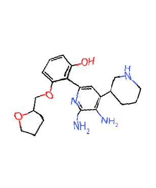 Nc1nc(-c2c(O)cccc2OCC2CCCO2)cc(C2CCCNC2)c1N